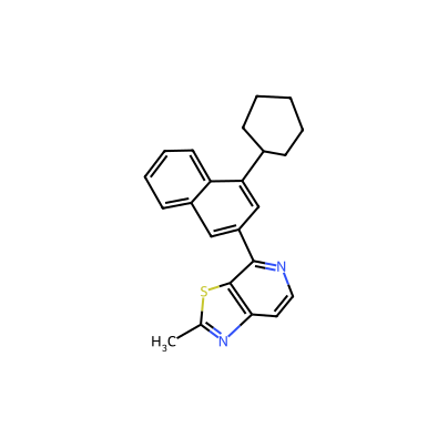 Cc1nc2ccnc(-c3cc(C4CCCCC4)c4ccccc4c3)c2s1